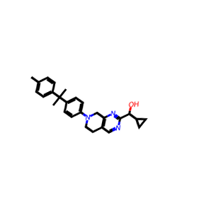 Cc1ccc(C(C)(C)c2ccc(N3CCc4cnc(C(O)C5CC5)nc4C3)cc2)cc1